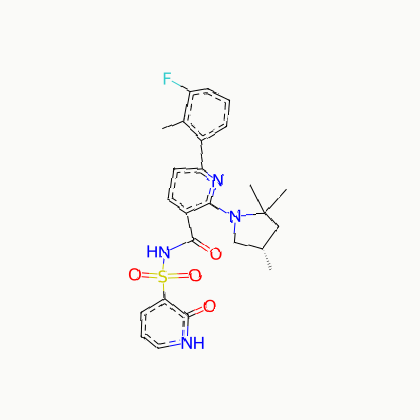 Cc1c(F)cccc1-c1ccc(C(=O)NS(=O)(=O)c2ccc[nH]c2=O)c(N2C[C@@H](C)CC2(C)C)n1